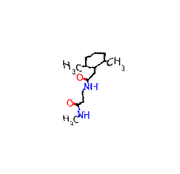 CNC(=O)CCNC(=O)CC1C(C)CCCC1C